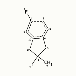 CC1(I)Cc2ccc(F)cc2C1